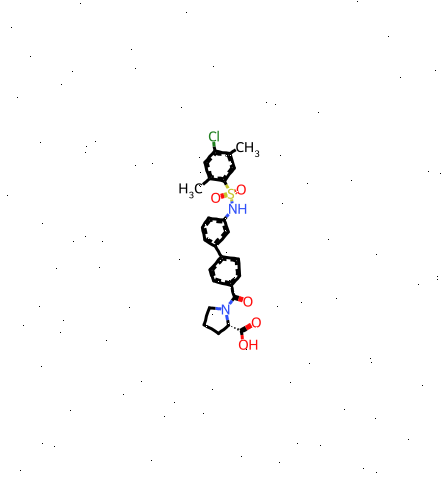 Cc1cc(S(=O)(=O)Nc2cccc(-c3ccc(C(=O)N4CCC[C@H]4C(=O)O)cc3)c2)c(C)cc1Cl